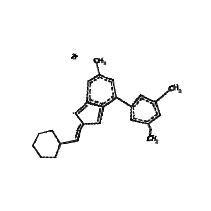 Cc1cc(C)cc(-c2cc(C)cc3c2=CC(=CC2CCCCC2)[C]=3)c1.[Zr]